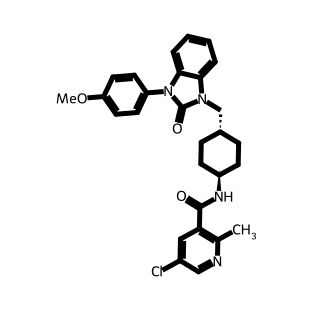 COc1ccc(-n2c(=O)n(C[C@H]3CC[C@H](NC(=O)c4cc(Cl)cnc4C)CC3)c3ccccc32)cc1